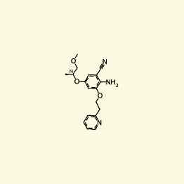 COC[C@H](C)Oc1cc(C#N)c(N)c(OCCc2ccccn2)c1